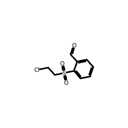 O=Cc1ccccc1S(=O)(=O)CCCl